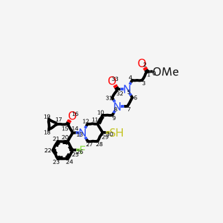 COC(=O)CCN1CCN(CC=C2CN(C(C(=O)C3CC3)c3ccccc3F)CCC2S)CC1=O